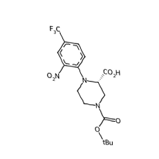 CC(C)(C)OC(=O)N1CCN(c2ccc(C(F)(F)F)cc2[N+](=O)[O-])[C@H](C(=O)O)C1